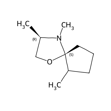 CC1CCC[C@]12OC[C@@H](C)N2C